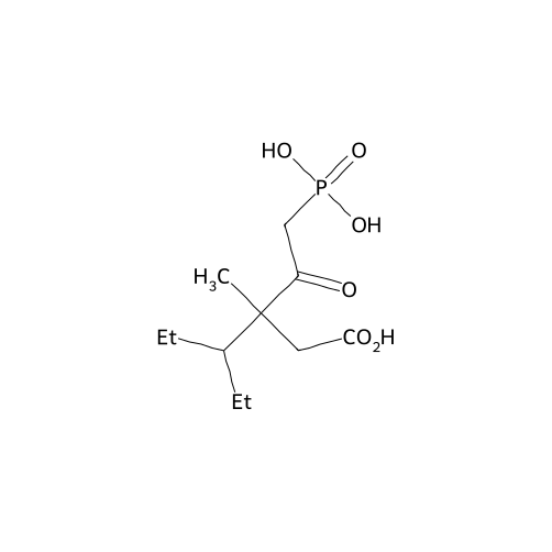 CCC(CC)C(C)(CC(=O)O)C(=O)CP(=O)(O)O